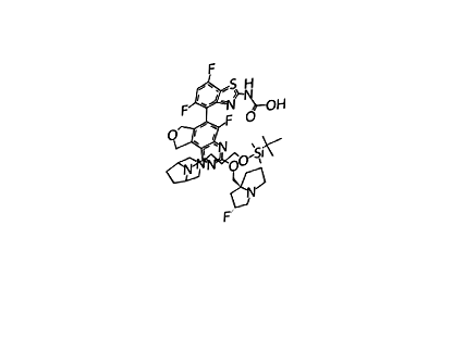 CC(C)(C)[Si](C)(C)OCCCN1CC2CCC(C1)N2c1nc(OC[C@@]23CCCN2C[C@H](F)C3)nc2c(F)c(-c3c(F)cc(F)c4sc(NC(=O)O)nc34)c3c(c12)COC3